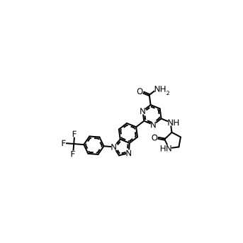 NC(=O)c1cc(NC2CCNC2=O)nc(-c2ccc3c(c2)ncn3-c2ccc(C(F)(F)F)cc2)n1